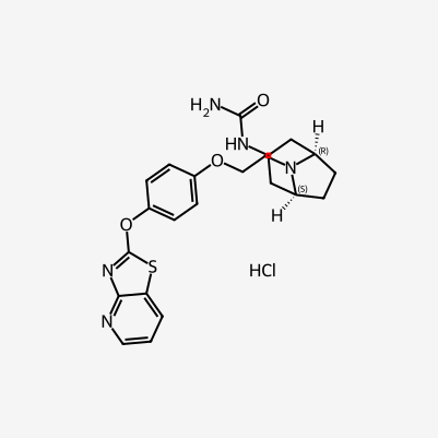 Cl.NC(=O)NC1C[C@H]2CC[C@@H](C1)N2CCOc1ccc(Oc2nc3ncccc3s2)cc1